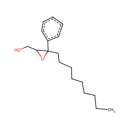 CCCCCCCCCC1(c2ccccc2)OC1CO